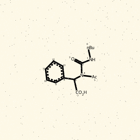 CCCCNC(=O)N(C(C)=O)C(C(=O)O)c1ccccc1